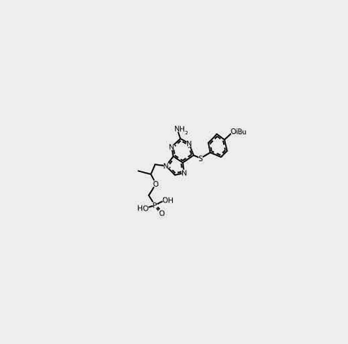 CC(C)COc1ccc(Sc2nc(N)nc3c2ncn3CC(C)OCP(=O)(O)O)cc1